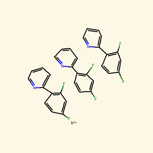 Fc1ccc(-c2ccccn2)c(F)c1.Fc1ccc(-c2ccccn2)c(F)c1.Fc1ccc(-c2ccccn2)c(F)c1.[Ir+2]